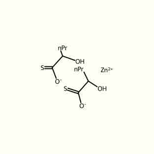 CCCC(O)C([O-])=S.CCCC(O)C([O-])=S.[Zn+2]